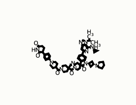 CC(C)n1cnc2cc(-c3ccc4c(c3)N([C@H]3C[C@@H](N5CCCCC5)C3)C(=O)C43CCN(C(=O)C4(C#N)CCN(C(=O)C5CCN(c6ccc(C7CCC(=O)NC7=O)cc6)CC5)CC4)CC3)nc(NC3CC3)c21